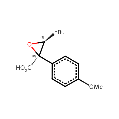 CCCC[C@@H]1O[C@]1(C(=O)O)c1ccc(OC)cc1